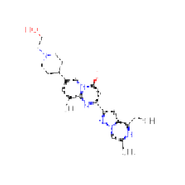 CCc1nc(C)cn2nc(-c3cc(=O)n4cc(C5CCN(CCO)CC5)cc(C)c4n3)cc12